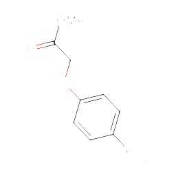 [CH2]c1ccc(OCC(=O)OC)cc1